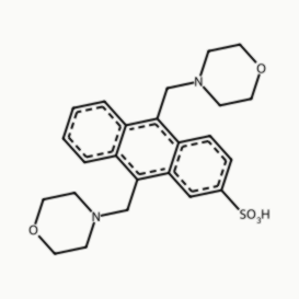 O=S(=O)(O)c1ccc2c(CN3CCOCC3)c3ccccc3c(CN3CCOCC3)c2c1